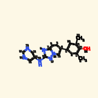 Cc1cc(-c2ccc3nc(Nc4cncnc4)nn3c2)cc(C)c1O